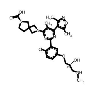 CNC[C@@H](O)COc1ccc(Cl)c(-c2nc(-c3c(C)noc3C)c(C)c(N3CC4(CCN(C(=O)O)C4)C3)n2)c1